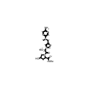 CNC(=O)C1CC(O)CN1C(=O)[C@@H](n1cc(CN(C)c2cnc(N)cn2)nn1)C(C)(C)C